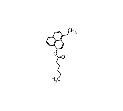 CCCCCC(=O)OC1C=Cc2c(CC)ccc3cccc1c23